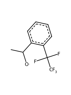 CC([O])c1ccccc1C(F)(F)C(F)(F)F